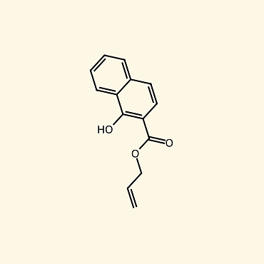 C=CCOC(=O)c1ccc2ccccc2c1O